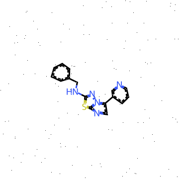 c1ccc(CNc2nn3c(-c4cccnc4)cnc3s2)cc1